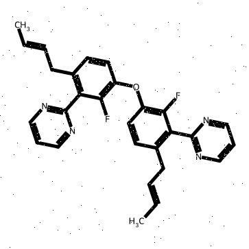 CC=CCc1ccc(Oc2ccc(CC=CC)c(-c3ncccn3)c2F)c(F)c1-c1ncccn1